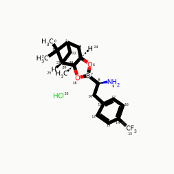 CC1(C)C2C[C@H]3OB([C@@H](N)Cc4ccc(C(F)(F)F)cc4)O[C@@]3(C)[C@H]1C2.Cl